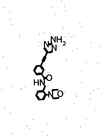 Nc1ncc(C#Cc2cccc(C(=O)NCc3ccccc3N3CCOCC3)c2)cn1